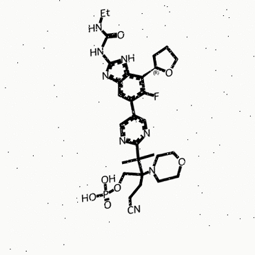 CCNC(=O)Nc1nc2cc(-c3cnc(C(C)(C)C(CCC#N)(COP(=O)(O)O)N4CCOCC4)nc3)c(F)c([C@H]3CCCO3)c2[nH]1